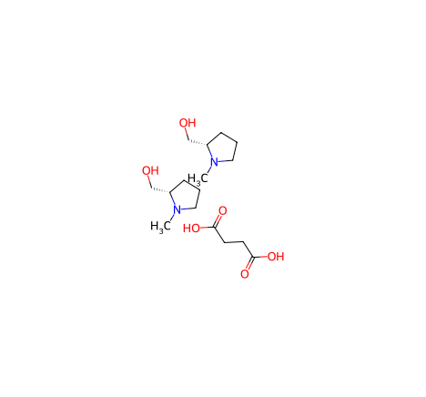 CN1CCC[C@H]1CO.CN1CCC[C@H]1CO.O=C(O)CCC(=O)O